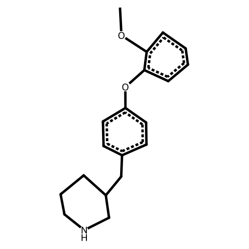 COc1ccccc1Oc1ccc(CC2CCCNC2)cc1